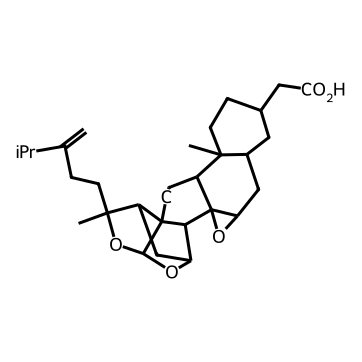 C=C(CCC1(C)OC2OC3CC1C21CCC2C4(C)CCC(CC(=O)O)CC4CC4OC42C31)C(C)C